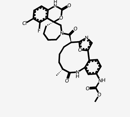 COC(=O)Nc1ccc2c(c1)NC(=O)[C@H](C)CCC[C@@H](C(=O)N1CCCC[C@@]3(C1)OC(=O)Nc1ccc(Cl)c(F)c13)c1ncc-2o1